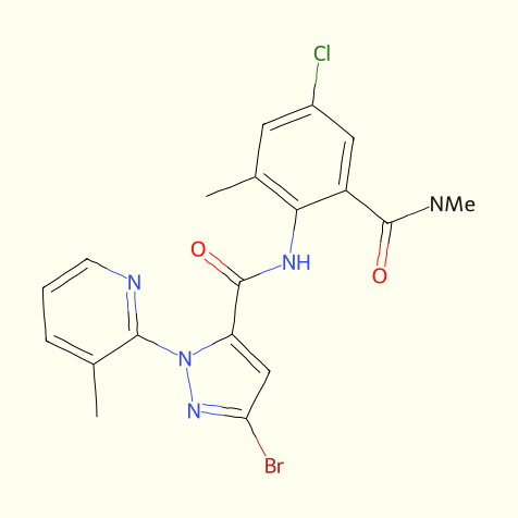 CNC(=O)c1cc(Cl)cc(C)c1NC(=O)c1cc(Br)nn1-c1ncccc1C